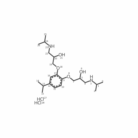 CC(C)NCC(O)COc1ccc(C(C)C)cc1OCC(O)CNC(C)C.Cl.Cl